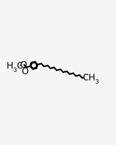 CCCCCCCCCCCCCCCc1ccc(C(=O)OC)cc1